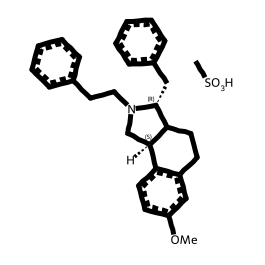 COc1ccc2c(c1)CCC1[C@@H]2CN(CCc2ccccc2)[C@@H]1Cc1ccccc1.CS(=O)(=O)O